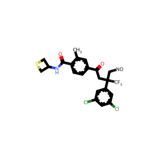 Cc1cc(C(=O)CC(CN=O)(c2cc(Cl)cc(Cl)c2)C(F)(F)F)ccc1C(=O)NC1CSC1